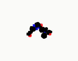 CC(=O)/C=C/c1ccc2nc(C3(NC(=O)c4ccc5c(c4)c(C)c(-c4ccoc4)n5C4CCCCC4)CCC3)n(C)c2c1